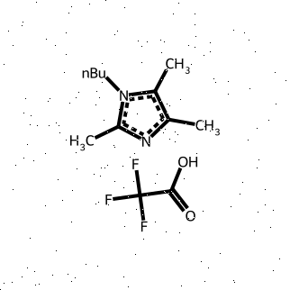 CCCCn1c(C)nc(C)c1C.O=C(O)C(F)(F)F